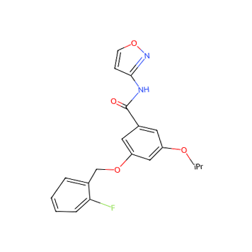 CC(C)Oc1cc(OCc2ccccc2F)cc(C(=O)Nc2ccon2)c1